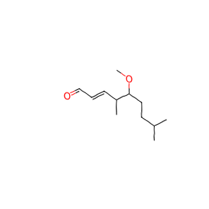 COC(CCC(C)C)C(C)C=CC=O